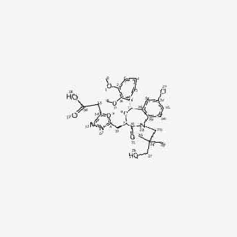 COc1cccc([C@H]2O[C@H](Cc3nnc(CC(=O)O)o3)C(=O)N(CC(C)(C)CO)c3ccc(Cl)cc32)c1OC